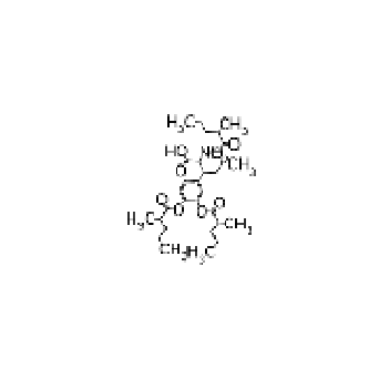 CCCC(C)C(=O)Oc1ccc(C(CC(C)OC(=O)C(C)CCC)[C@H](N)C(=O)O)cc1OC(=O)C(C)CCC